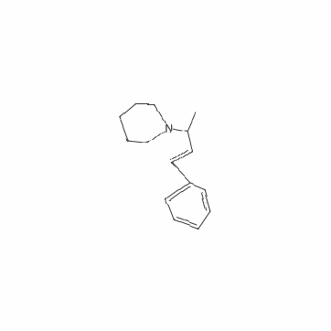 CC(C=Cc1ccccc1)N1CCCCC1